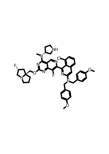 COc1ccc(CN(Cc2ccc(OC)cc2)c2cc3cccc(Cl)c3c(-c3ncc4c(N(C)[C@@H]5CCNC5)nc(OC[C@@]56CCCN5C[C@H](F)C6)nc4c3F)n2)cc1